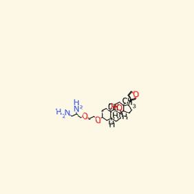 C[C@]12CC[C@H](OCCOCC(N)CN)C[C@H]1CC[C@@H]1[C@@H]2CC[C@]2(C)[C@@H](c3ccoc3)CC[C@]12O